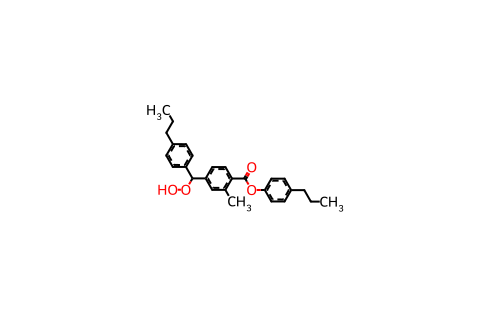 CCCc1ccc(OC(=O)c2ccc(C(OO)c3ccc(CCC)cc3)cc2C)cc1